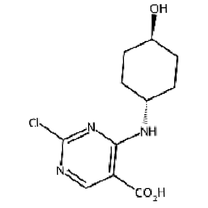 O=C(O)c1cnc(Cl)nc1N[C@H]1CC[C@H](O)CC1